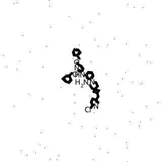 Nc1c(Nc2ccc(OCc3ccccc3)nc2OCc2ccccc2)cccc1N1CCC2(CC1)CC(Cc1ccc(Cl)nc1)C2